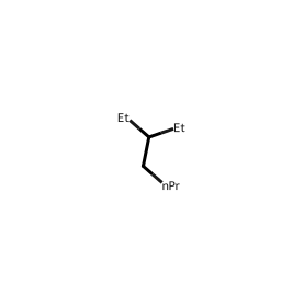 [CH2]CCCC(CC)CC